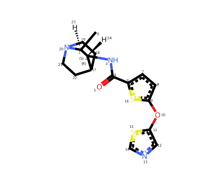 C[C@H]1[C@H](NC(=O)c2ccc(Oc3cncs3)s2)C2CCN1CC2